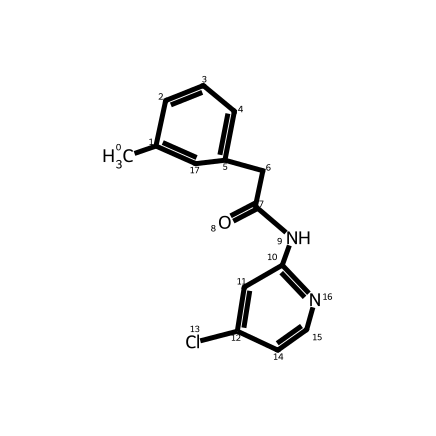 Cc1cccc(CC(=O)Nc2cc(Cl)ccn2)c1